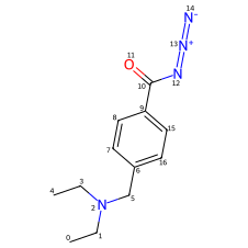 CCN(CC)Cc1ccc(C(=O)N=[N+]=[N-])cc1